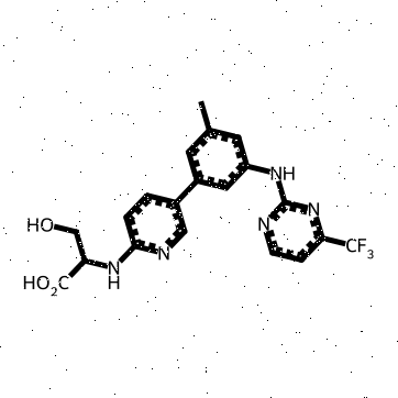 Cc1cc(Nc2nccc(C(F)(F)F)n2)cc(-c2ccc(NC(CO)C(=O)O)nc2)c1